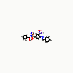 O=C(NS(=O)(=O)c1ccc(NCC2CCCCC2)c([N+](=O)[O-])c1)c1ccccc1